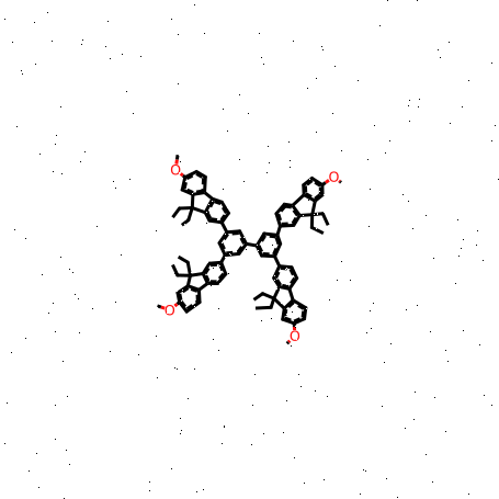 CCC1(CC)c2cc(OC)ccc2-c2ccc(-c3cc(-c4cc(-c5ccc6c(c5)C(CC)(CC)c5cc(OC)ccc5-6)cc(-c5ccc6c(c5)C(CC)(CC)c5cc(OC)ccc5-6)c4)cc(-c4ccc5c(c4)C(CC)(CC)c4cc(OC)ccc4-5)c3)cc21